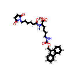 O=C(CCCCCN1C(=O)C=CC1=O)NC(CCCCNC(=O)OCC1c2ccccc2-c2ccccc21)C(=O)O